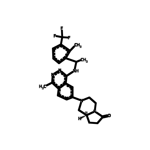 Cc1c(C(C)Nc2nnc(C)c3ccc(N4CCN5C(=O)CC[C@H]5C4)cc23)cccc1C(F)(F)F